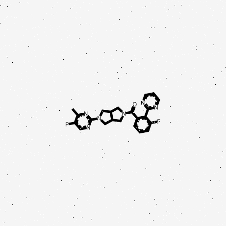 Cc1nc(N2CC3CN(C(=O)c4cccc(F)c4-c4ncccn4)CC3C2)ncc1F